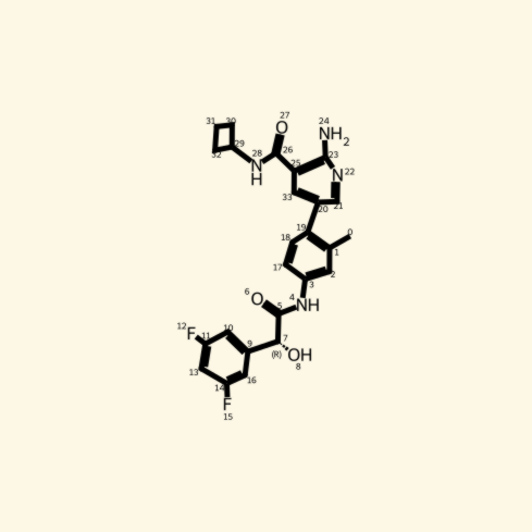 Cc1cc(NC(=O)[C@H](O)c2cc(F)cc(F)c2)ccc1-c1cnc(N)c(C(=O)NC2CCC2)c1